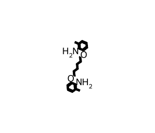 Cc1cccc(OCCCCCCOc2cccc(C)c2N)c1N